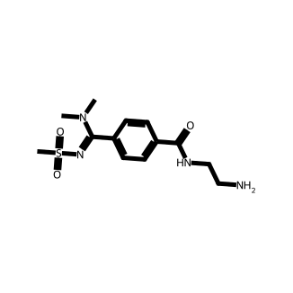 CN(C)C(=NS(C)(=O)=O)c1ccc(C(=O)NCCN)cc1